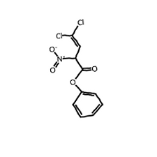 O=C(Oc1ccccc1)C(C=C(Cl)Cl)[N+](=O)[O-]